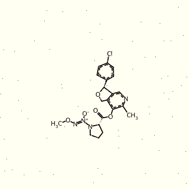 CON=[N+]([O-])N1CCC[C@H]1C(=O)Oc1c(C)ncc2c1CO[C@H]2c1ccc(Cl)cc1